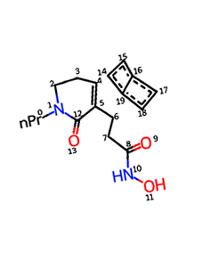 CCCN1CCC=C(CCC(=O)NO)C1=O.c1cc2ccc1-2